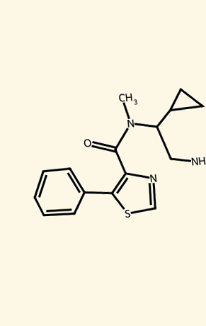 CN(C(=O)c1ncsc1-c1ccccc1)C(CN)C1CC1